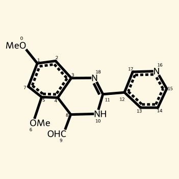 COc1cc2c(c(OC)c1)C(C=O)NC(c1cccnc1)=N2